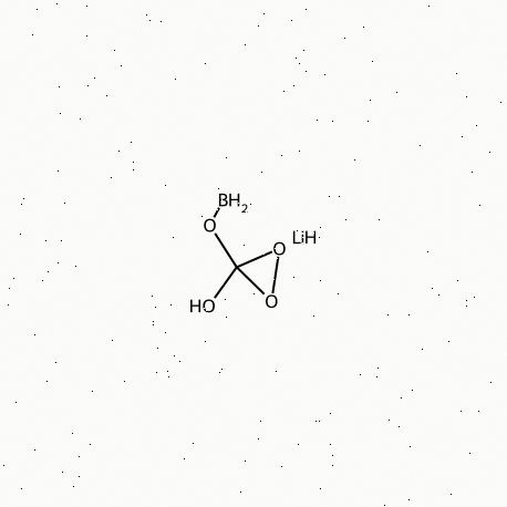 BOC1(O)OO1.[LiH]